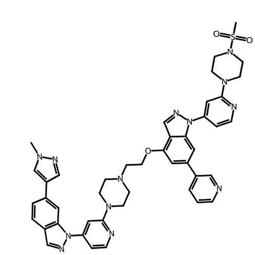 Cn1cc(-c2ccc3cnn(-c4ccnc(N5CCN(CCOc6cc(-c7cccnc7)cc7c6cnn7-c6ccnc(N7CCN(S(C)(=O)=O)CC7)c6)CC5)c4)c3c2)cn1